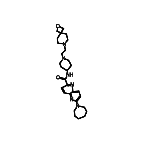 O=C(NC1CCN(CCN2CCC3(CC2)COC3)CC1)c1ccc2nc(N3CCCCCC3)ccc2n1